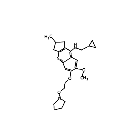 COc1cc2c(NCC3CC3)c3c(nc2cc1OCCON1CCCC1)CC(C)C3